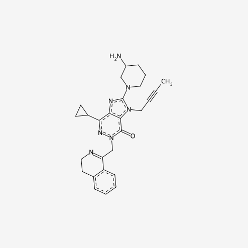 CC#CCn1c(N2CCCC(N)C2)nc2c(C3CC3)nn(CC3=NCCc4ccccc43)c(=O)c21